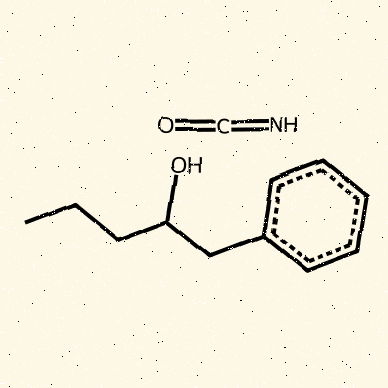 CCCC(O)Cc1ccccc1.N=C=O